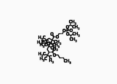 CCCCOC(=O)C(CC(C)(C)C(C)(C)C(C)(CC(C)(C)C)C(=O)OCCOP(=O)(OC(C)C)OC(C)C)C(C)(C)C